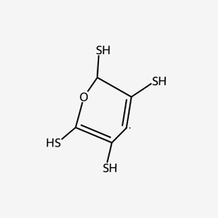 SC1=[C]C(S)=C(S)OC1S